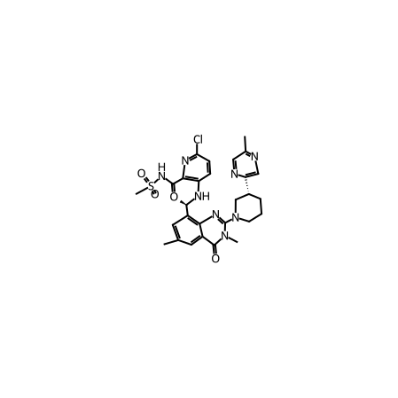 Cc1cc([C@@H](C)Nc2ccc(Cl)nc2C(=O)NS(C)(=O)=O)c2nc(N3CCC[C@@H](c4cnc(C)cn4)C3)n(C)c(=O)c2c1